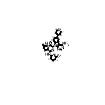 Nc1ncnc2c1c1cc(-c3ccncc3)ccc1n2CC(=O)N1[C@@H]2CC2C[C@H]1C(=O)Nc1cccc(Br)n1